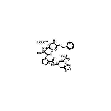 CC(C)(C)[C@@H](NC(=O)[C@H](CC(=O)O)NC(=O)OCc1ccccc1)C(=O)N1CCC[C@@H]1C(=O)N[C@H](/C=C/S(C)(=O)=O)Cc1nnn[nH]1